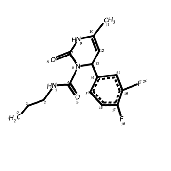 [CH2]CCNC(=O)N1C(=O)NC(C)=CC1c1ccc(F)c(F)c1